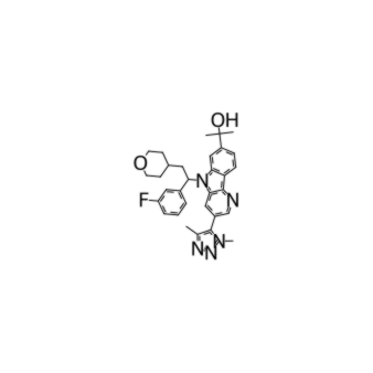 Cc1nnn(C)c1-c1cnc2c3ccc(C(C)(C)O)cc3n(C(CC3CCOCC3)c3cccc(F)c3)c2c1